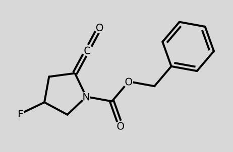 O=C=C1CC(F)CN1C(=O)OCc1ccccc1